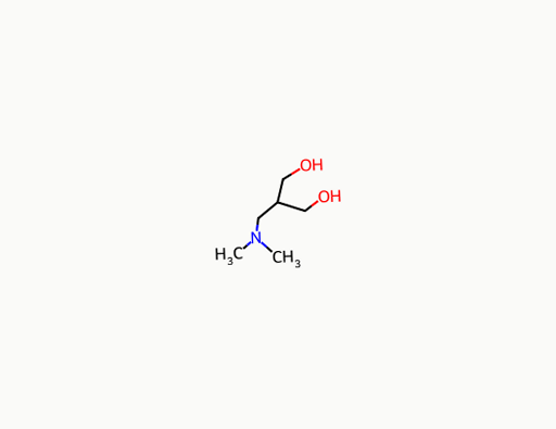 CN(C)CC(CO)CO